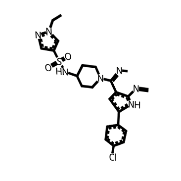 C=Nc1[nH]c(-c2ccc(Cl)cc2)cc1/C(=N\C)N1CCC(NS(=O)(=O)c2cnn(CC)c2)CC1